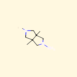 CC(C)N1CC2(C)CN(N)CC2(C)C1